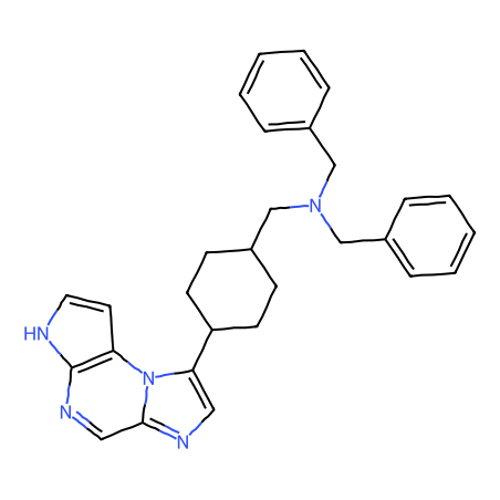 c1ccc(CN(Cc2ccccc2)CC2CCC(c3cnc4cnc5[nH]ccc5n34)CC2)cc1